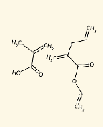 C=C(C)C(=O)O.C=CCC(=C)C(=O)OC=C